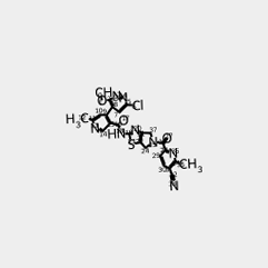 COc1nnc(Cl)cc1-c1cc(C)ncc1C(=O)Nc1nc2c(s1)CN(C(=O)c1ccc(C#N)c(C)n1)C2